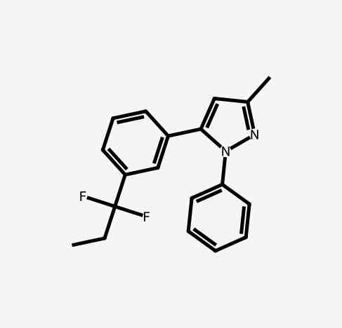 CCC(F)(F)c1cccc(-c2cc(C)nn2-c2ccccc2)c1